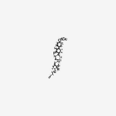 C=CCCOc1ccc(CCC2CCC(c3ccc(-c4ccc(OCCCC)cc4)c(F)c3F)CC2)c(F)c1F